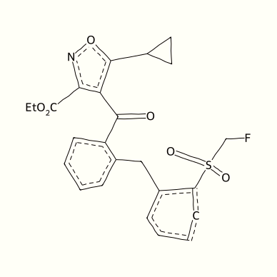 CCOC(=O)c1noc(C2CC2)c1C(=O)c1ccccc1Cc1ccccc1S(=O)(=O)CF